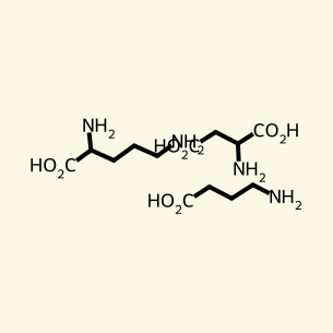 NC(CC(=O)O)C(=O)O.NCCCC(=O)O.NCCCC(N)C(=O)O